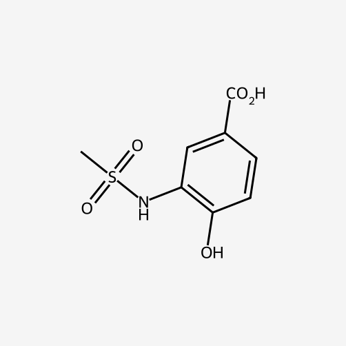 CS(=O)(=O)Nc1cc(C(=O)O)ccc1O